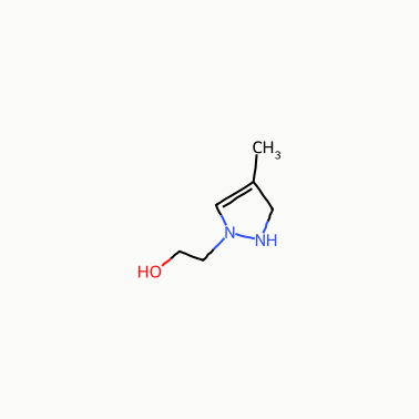 CC1=CN(CCO)NC1